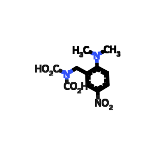 CN(C)c1ccc([N+](=O)[O-])cc1CN(C(=O)O)C(=O)O